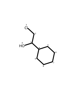 OC(CCl)C1CCCCC1